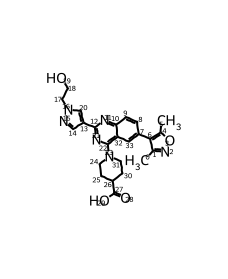 Cc1noc(C)c1-c1ccc2nc(-c3cnn(CCO)c3)nc(N3CCC(C(=O)O)CC3)c2c1